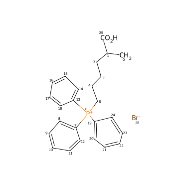 CC(CCCC[P+](c1ccccc1)(c1ccccc1)c1ccccc1)C(=O)O.[Br-]